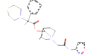 CC(C(=O)O[C@H]1C[N+]2(CC(=O)Nc3ccon3)CCC1CC2)(c1ccccc1)N1CCSCC1